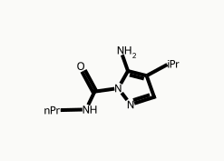 CCCNC(=O)n1ncc(C(C)C)c1N